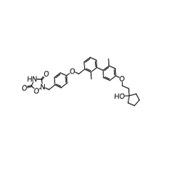 Cc1cc(OCCC2(O)CCCC2)ccc1-c1cccc(COc2ccc(Cn3oc(=O)[nH]c3=O)cc2)c1C